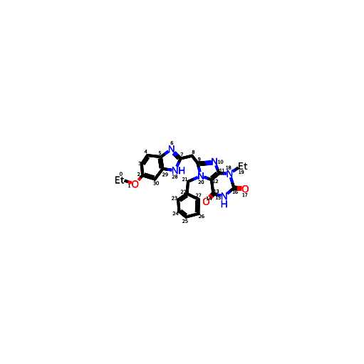 CCOc1ccc2nc(Cc3nc4c(c(=O)[nH]c(=O)n4CC)n3Cc3ccccc3)[nH]c2c1